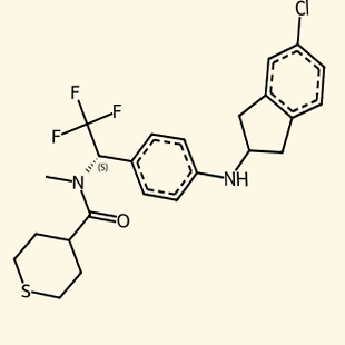 CN(C(=O)C1CCSCC1)[C@@H](c1ccc(NC2Cc3ccc(Cl)cc3C2)cc1)C(F)(F)F